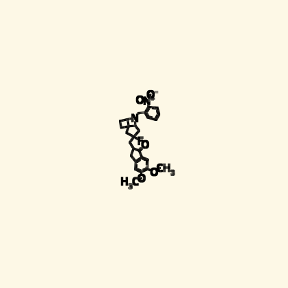 COc1cc2c(cc1OC)C(=O)C(CC1(F)CC3N(Cc4ccccc4[N+](=O)[O-])C4CCC43C1)C2